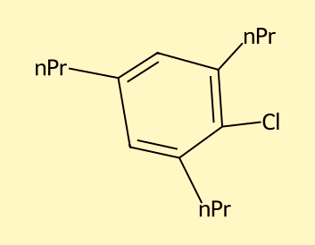 CCCc1cc(CCC)c(Cl)c(CCC)c1